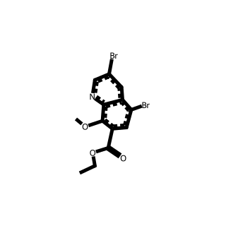 CCOC(=O)c1cc(Br)c2cc(Br)cnc2c1OC